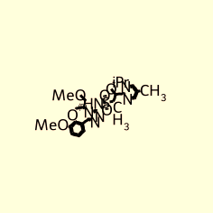 COC[C@@H]1COc2c(OC)cccc2-c2nnc(NS(=O)(=O)C(C)C(OC(C)C)c3ncc(C)cn3)n21